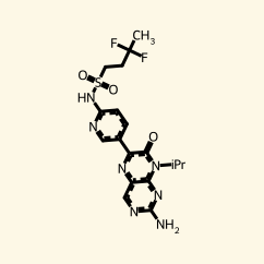 CC(C)n1c(=O)c(-c2ccc(NS(=O)(=O)CCC(C)(F)F)nc2)nc2cnc(N)nc21